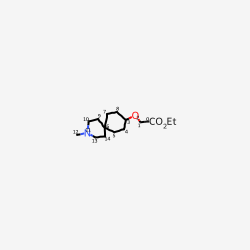 CCOC(=O)COC1CCC2(CC1)CCN(C)CC2